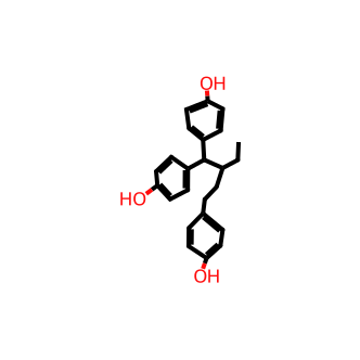 CCC(CCc1ccc(O)cc1)C(c1ccc(O)cc1)c1ccc(O)cc1